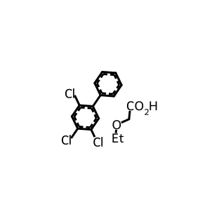 CCOCC(=O)O.Clc1cc(Cl)c(-c2ccccc2)cc1Cl